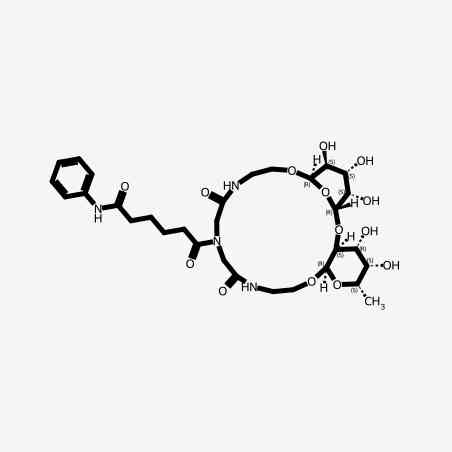 C[C@@H]1O[C@H]2OCCNC(=O)CN(C(=O)CCCCC(=O)Nc3ccccc3)CC(=O)NCCO[C@@H]3O[C@@H](O[C@H]2[C@H](O)[C@@H]1O)[C@@H](O)[C@@H](O)[C@@H]3O